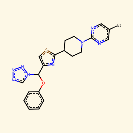 CCc1cnc(N2CCC(c3nc(C(Oc4ccccc4)n4cnnn4)cs3)CC2)nc1